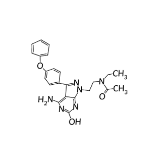 CCN(CCn1nc(-c2ccc(Oc3ccccc3)cc2)c2c(N)nc(O)nc21)C(C)=O